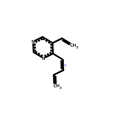 C=C/C=C\c1ncncc1C=C